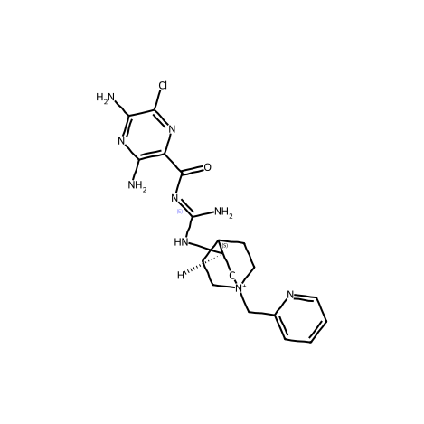 N/C(=N\C(=O)c1nc(Cl)c(N)nc1N)N[C@@H]1C[N+]2(Cc3ccccn3)CCC1CC2